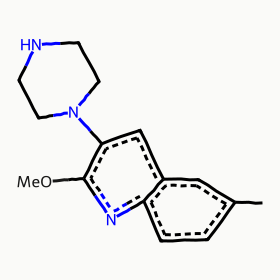 COc1nc2ccc(C)cc2cc1N1CCNCC1